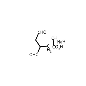 CC(C=O)CC=O.O=C(O)O.[NaH]